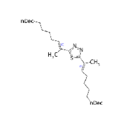 CCCCCCCCCCCCCC/C=C(\C)c1nnc(/C(C)=C/CCCCCCCCCCCCCC)s1